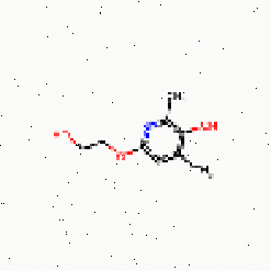 Cc1cc(OCCO)nc(C)c1O